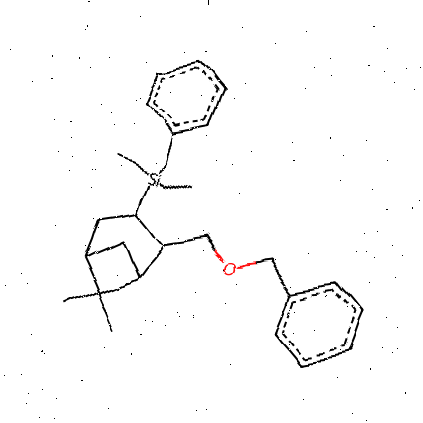 CC1(C)C2CC1C(COCc1ccccc1)C([Si](C)(C)c1ccccc1)C2